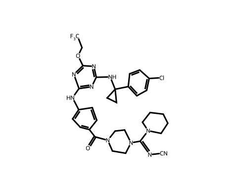 N#C/N=C(\N1CCCCC1)N1CCN(C(=O)c2ccc(Nc3nc(NC4(c5ccc(Cl)cc5)CC4)nc(OCC(F)(F)F)n3)cc2)CC1